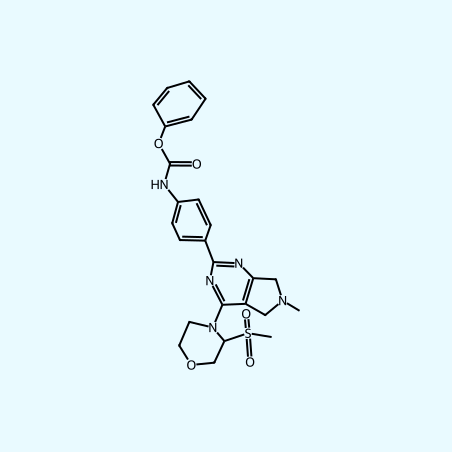 CN1Cc2nc(-c3ccc(NC(=O)Oc4ccccc4)cc3)nc(N3CCOCC3S(C)(=O)=O)c2C1